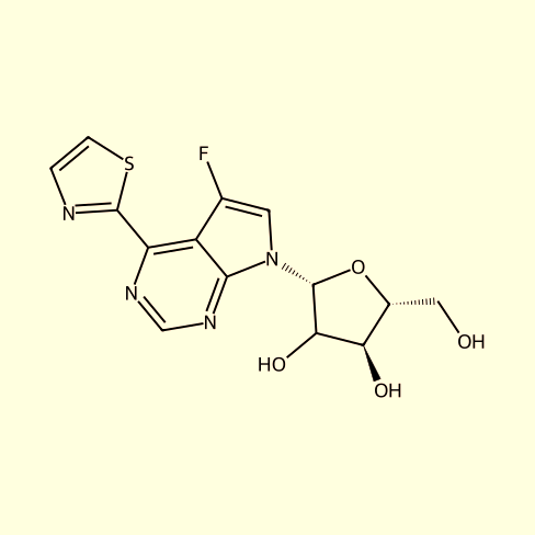 OC[C@H]1O[C@@H](n2cc(F)c3c(-c4nccs4)ncnc32)C(O)[C@@H]1O